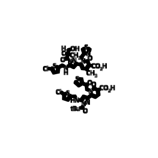 CC(C)(C)C(=O)n1nc(-c2ccc(C(=O)O)c(=O)n2CC(=O)c2ccsc2)cc1NCc1ccc(Cl)s1.Cc1cc(-c2cc(NCc3ccc(Cl)s3)n(C(=O)C(C)(C)CO)n2)n(Cc2cscn2)c(=O)c1C(=O)O